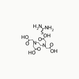 NC(N)=S.O=C(O)CN(CCN(CC(=O)O)CC(=O)O)CC(=O)O